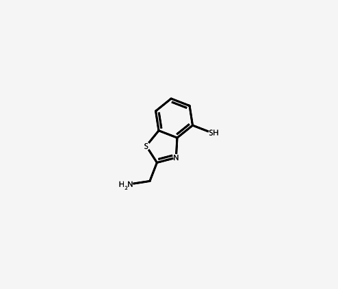 NCc1nc2c(S)cccc2s1